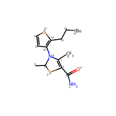 CC1SC(C(N)=O)=C(C(F)(F)F)N1c1ccsc1CCC(C)(C)C